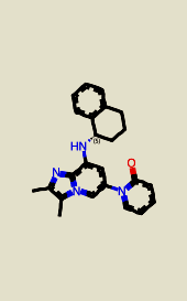 Cc1nc2c(N[C@H]3CCCc4ccccc43)cc(-n3ccccc3=O)cn2c1C